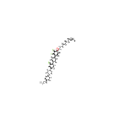 C=CC1CCC(C2CC=C(c3ccc(-c4ccc(-c5ccc(OCCCCCCCCC)c(F)c5F)cc4)c(F)c3)CC2)CC1